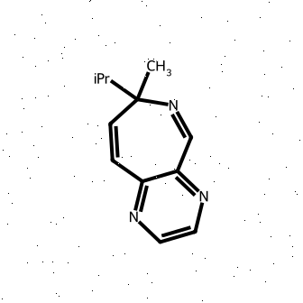 CC(C)C1(C)C=Cc2nccnc2C=N1